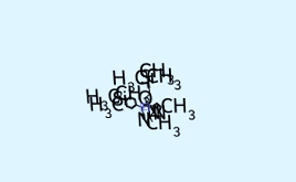 CCn1nc(C)cc1/C(OCC#C[Si](C)(C)C)=C(\C#N)c1ccc([Si](C)(C)C)cc1